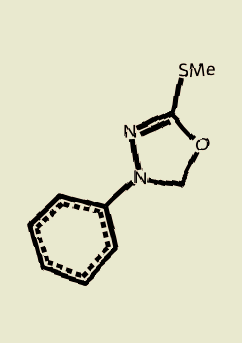 CSC1=NN(c2ccccc2)CO1